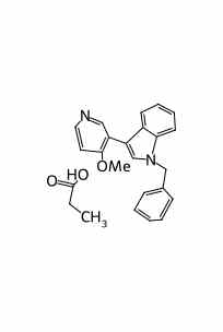 CCC(=O)O.COc1ccncc1-c1cn(Cc2ccccc2)c2ccccc12